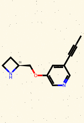 CC#Cc1cncc(OC[C@@H]2CCN2)c1